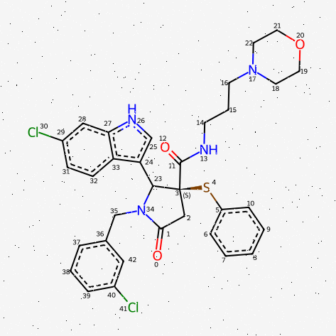 O=C1C[C@@](Sc2ccccc2)(C(=O)NCCCN2CCOCC2)C(c2c[nH]c3cc(Cl)ccc23)N1Cc1cccc(Cl)c1